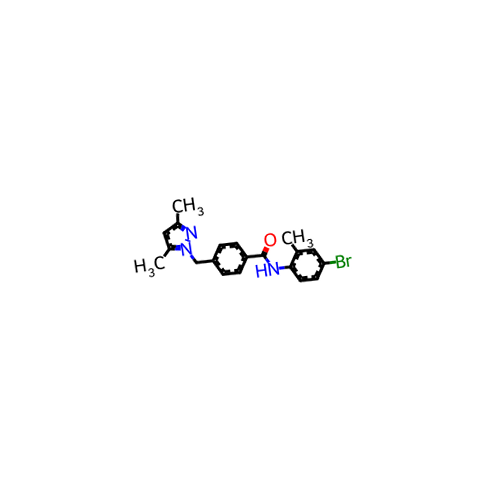 Cc1cc(C)n(Cc2ccc(C(=O)Nc3ccc(Br)cc3C)cc2)n1